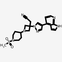 CS(=O)(=O)N1CCC(N2CC(CC#N)(n3cc(-c4ccnc5[nH]ccc45)cn3)C2)CC1